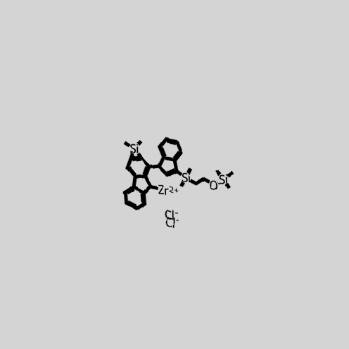 C[Si](C)(C)OCC[Si](C)(C)C1=CC(c2c3c(cc4c2[Si]4(C)C)-c2ccccc2[CH]3[Zr+2])c2ccccc21.[Cl-].[Cl-]